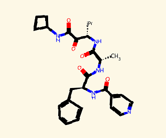 CC(C)[C@H](NC(=O)[C@H](C)NC(=O)[C@H](Cc1ccccc1)NC(=O)c1ccncc1)C(=O)C(=O)NC1CCC1